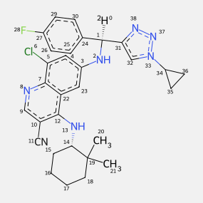 [2H][C@](Nc1cc(Cl)c2ncc(C#N)c(N[C@H]3CCCCC3(C)C)c2c1)(c1ccc(F)cc1)c1cn(C2CC2)nn1